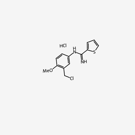 COc1ccc(NC(=N)c2cccs2)cc1CCl.Cl